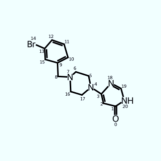 O=c1cc(N2CCN(Cc3cccc(Br)c3)CC2)nc[nH]1